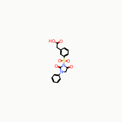 O=C(O)Cc1cccc(S(=O)(=O)N2C(=O)CN(c3ccccc3)C2=O)c1